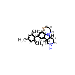 Cc1cc(C)c(-c2cc3c4c(c2)[C@H]2CNCC[C@H]2N4CCCS3)c(C)c1